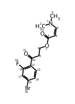 CN(C)/C=C\C(=O)OCCC(=O)c1ccc(Br)cc1F